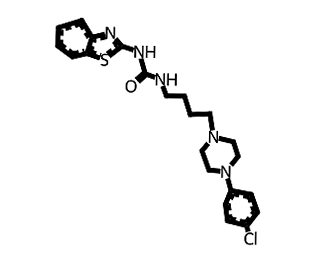 O=C(NCCCCN1CCN(c2ccc(Cl)cc2)CC1)Nc1nc2ccccc2s1